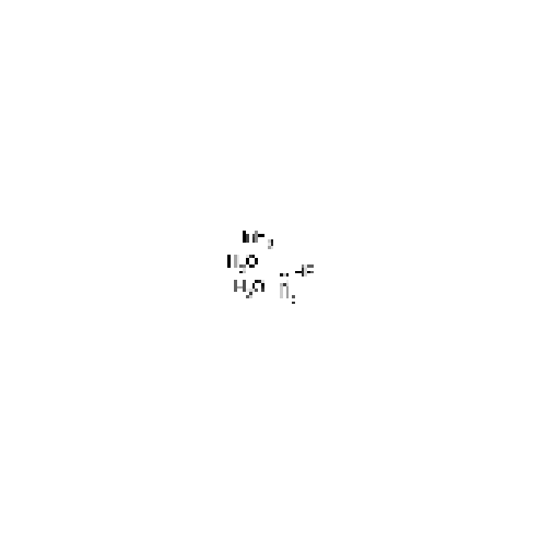 F.O.O.O.[InH3]